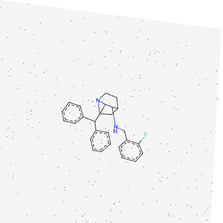 Fc1ccccc1CNC1C2CCN(CC2)C1C(c1ccccc1)c1ccccc1